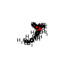 CN(C)NC(=O)c1ccc(NC(=O)Nc2ccc(-c3nc(N4C5COCC4CN(C(=O)OC(C)(C)C)C5)c4cnn(CC(F)(F)F)c4n3)cc2)cc1